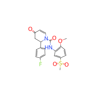 COc1ccc(S(C)(=O)=O)cc1NC(=O)N1C=CC(=O)CC1c1ccc(F)cc1